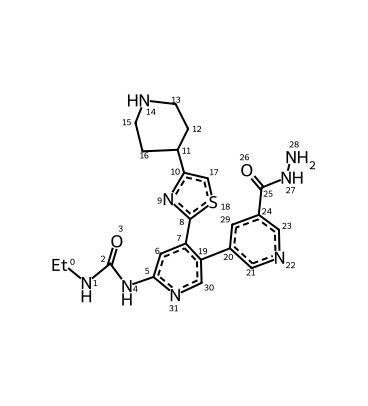 CCNC(=O)Nc1cc(-c2nc(C3CCNCC3)cs2)c(-c2cncc(C(=O)NN)c2)cn1